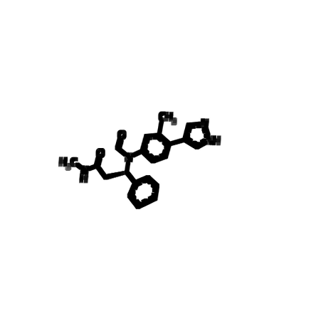 CNC(=O)C[C@H](c1ccccc1)N(C=O)c1ccc(-c2cn[nH]c2)c(C)c1